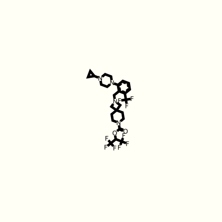 O=C(OC(C(F)(F)F)C(F)(F)F)N1CCC2(CC1)CN(Cc1c(N3CCN(C4CC4)CC3)cccc1C(F)(F)F)C2